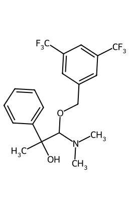 CN(C)C(OCc1cc(C(F)(F)F)cc(C(F)(F)F)c1)C(C)(O)c1ccccc1